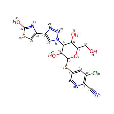 N#Cc1ncc(SC2OC(CO)C(O)C(n3cc(-c4csc(O)n4)nn3)C2O)cc1Cl